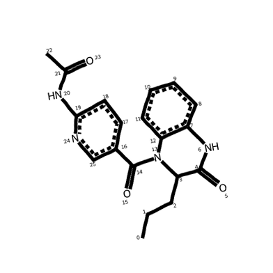 CCCC1C(=O)Nc2ccccc2N1C(=O)c1ccc(NC(C)=O)nc1